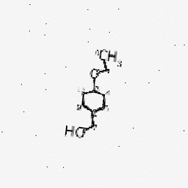 CCOC1CCC(CO)CC1